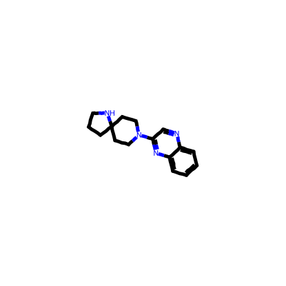 c1ccc2nc(N3CCC4(CCCN4)CC3)cnc2c1